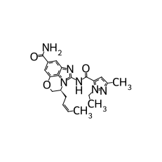 C/C=C\C[C@H]1COc2cc(C(N)=O)cc3nc(NC(=O)c4cc(C)nn4CC)n1c23